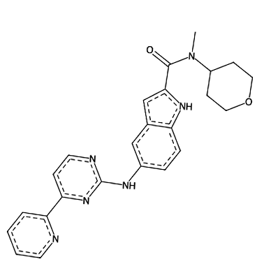 CN(C(=O)c1cc2cc(Nc3nccc(-c4ccccn4)n3)ccc2[nH]1)C1CCOCC1